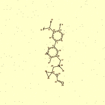 Cc1ncc(-c2ccc(F)c(C(F)F)c2)cc1CN(C)CC1(OC=O)CC1